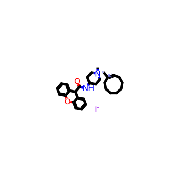 C[N+]1(C/C2=C/CCCCCCC2)CCC(NC(=O)C2c3ccccc3Oc3ccccc32)CC1.[I-]